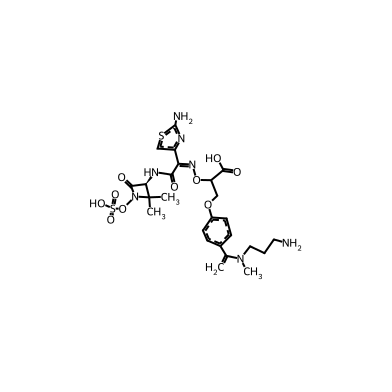 C=C(c1ccc(OCC(O/N=C(\C(=O)N[C@@H]2C(=O)N(OS(=O)(=O)O)C2(C)C)c2csc(N)n2)C(=O)O)cc1)N(C)CCCN